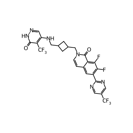 O=c1[nH]ncc(NCC2CC(Cn3ccc4cc(-c5ncc(C(F)(F)F)cn5)c(F)c(F)c4c3=O)C2)c1C(F)(F)F